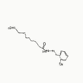 CCCCCCCCCCCCCCCCCC(=O)NN=Cc1ccccc1O